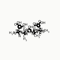 [C-]#[N+]c1c(SC)nn(-c2cc(C(=O)O)cc(C(=O)O)c2)c1N=Nc1c(C)nn(-c2cc(O)nc(-n3nc(C)c(N=Nc4c(C#N)c(SC)nn4-c4cc(C(=O)O)cc(C(=O)O)c4)c3N)n2)c1N